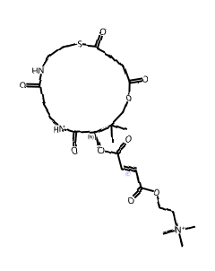 CC1(C)COC(=O)CCC(=O)SCCNC(=O)CCNC(=O)[C@@H]1OC(=O)/C=C/C(=O)OCC[N+](C)(C)C